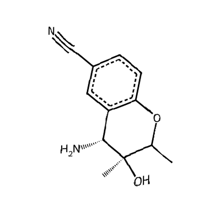 CC1Oc2ccc(C#N)cc2[C@@H](N)[C@]1(C)O